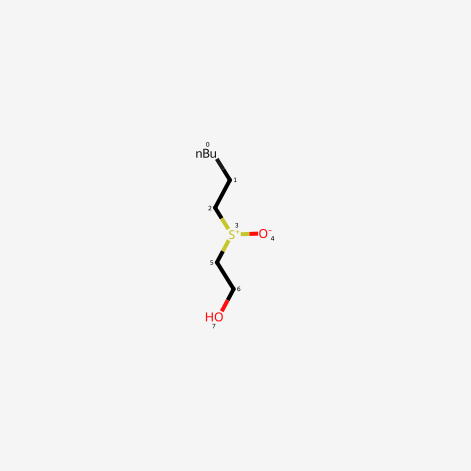 CCCCCC[S+]([O-])CCO